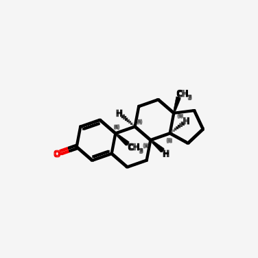 C[C@@]12CCC[C@H]1[C@@H]1CCC3=CC(=O)C=C[C@]3(C)[C@H]1CC2